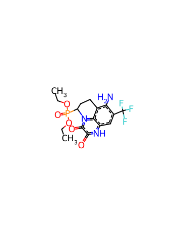 CCOP(=O)(OCC)C1CCc2c(N)c(C(F)(F)F)cc3[nH]c(=O)c(=O)n1c23